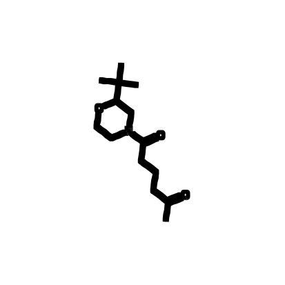 CC(=O)CCCC(=O)N1CCOC(C(C)(C)C)C1